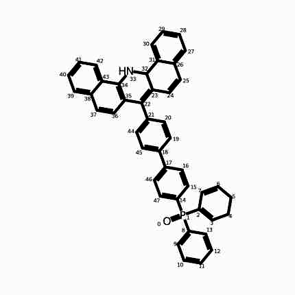 O=P(C1=CCCC=C1)(c1ccccc1)c1ccc(-c2ccc(C3=C4C=Cc5ccccc5C4Nc4c3ccc3ccccc43)cc2)cc1